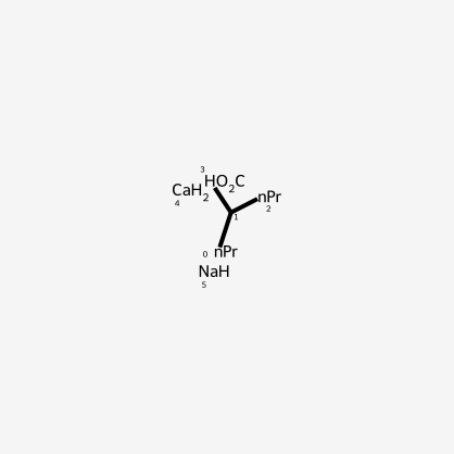 CCCC(CCC)C(=O)O.[CaH2].[NaH]